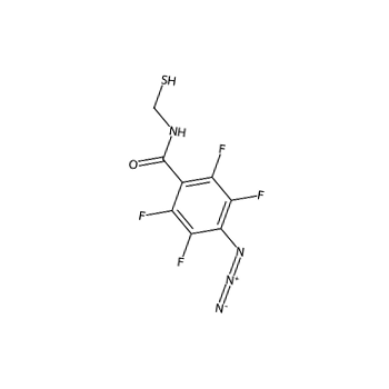 [N-]=[N+]=Nc1c(F)c(F)c(C(=O)NCS)c(F)c1F